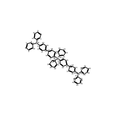 c1ccc(N(c2ccccc2)c2ccc(-c3ccc([Si](c4ccccc4)(c4ccccc4)c4ccc(-c5ccc(N(c6ncccn6)c6ncccn6)cc5)cc4)cc3)cc2)cc1